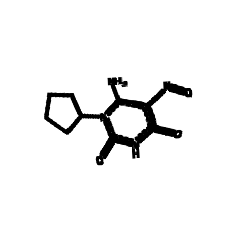 Nc1c(N=O)c(=O)[nH]c(=O)n1C1CCCC1